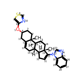 C[C@]12CC[C@H](Oc3cscn3)CC1=CC[C@@H]1[C@@H]2CC[C@]2(C)C(n3cnc4ccccc43)=CC[C@@H]12